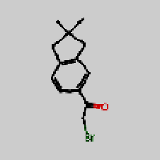 CC1(C)Cc2ccc(C(=O)CBr)cc2C1